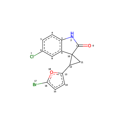 O=C1Nc2ccc(Cl)cc2C12CC2c1ccc(Br)o1